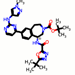 Cn1cc(Nc2nccc(-c3ccc4c(c3)CCN(C(=O)OC(C)(C)C)C[C@H]4NC(=O)c3nnc(C(C)(C)C)o3)n2)cn1